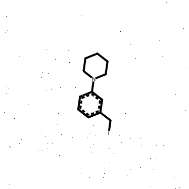 ICc1cccc(N2CCCCC2)c1